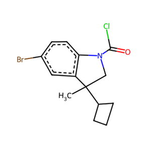 CC1(C2CCC2)CN(C(=O)Cl)c2ccc(Br)cc21